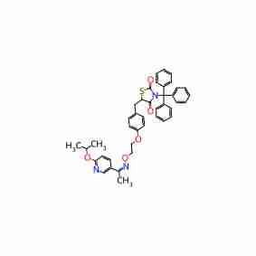 CC(=NOCCOc1ccc(CC2SC(=O)N(C(c3ccccc3)(c3ccccc3)c3ccccc3)C2=O)cc1)c1ccc(OC(C)C)nc1